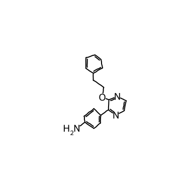 Nc1ccc(-c2nccnc2OCCc2ccccc2)cc1